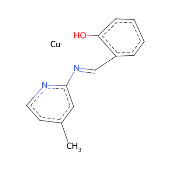 Cc1ccnc(N=Cc2ccccc2O)c1.[Cu]